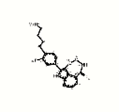 CNCCCCc1ccc(-c2[nH]c3cccc4c3c2CONC4=O)cc1F